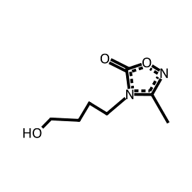 Cc1noc(=O)n1CCCCO